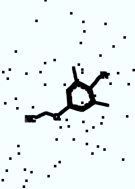 Cc1cc(OCC#N)cc(C)c1C(C)C